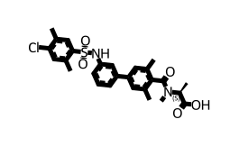 Cc1cc(S(=O)(=O)Nc2cccc(-c3cc(C)c(C(=O)N(C)[C@@H](C)C(=O)O)c(C)c3)c2)c(C)cc1Cl